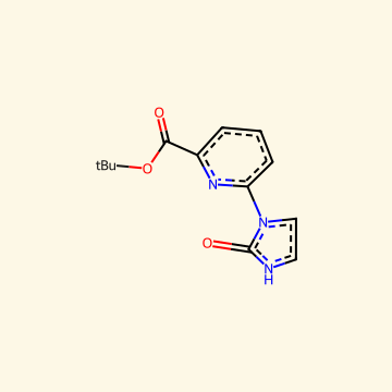 CC(C)(C)OC(=O)c1cccc(-n2cc[nH]c2=O)n1